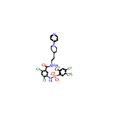 Cc1cc(S(=O)(=O)Nc2cc(C(=O)NCCC3CCN(c4ccncc4)CC3)c(Cl)cc2Cl)c(C)cc1Cl